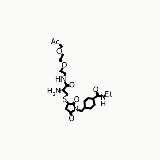 CCNC(=O)C1CCC(CN2C(=O)CC(SC[C@H](N)C(=O)NCCOCCOCC(C)=O)C2=O)CC1